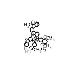 CC(C)(C)c1ccc(Nc2cc3c(cc2-c2ccc4c5c6c(ccc5n5c4c2Bc2cc4c(cc2-5)sc2ccccc24)C(C)(C)c2ccccc2-6)C(C)(C)CCC3(C)C)cc1